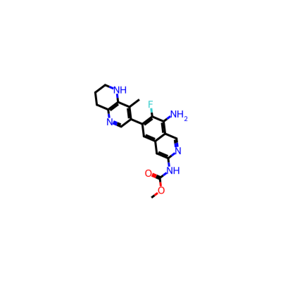 COC(=O)Nc1cc2cc(-c3cnc4c(c3C)NCCC4)c(F)c(N)c2cn1